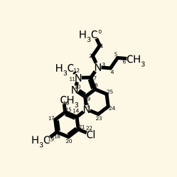 CCCN(CCC)c1c2c(nn1C)N(c1c(C)cc(C)cc1Cl)CCC2